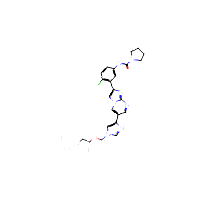 C[Si](C)(C)CCOCn1cnc(-c2cnc3nc(-c4cc(NC(=O)N5CCCC5)ccc4Cl)cn3c2)c1